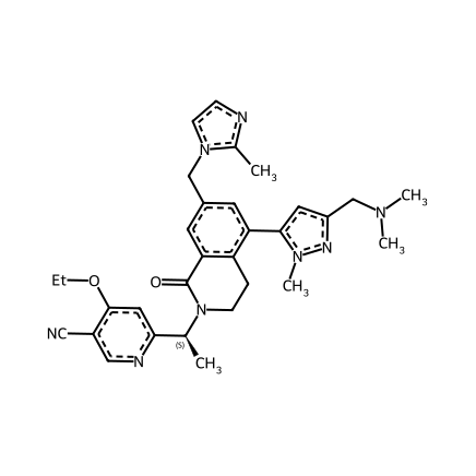 CCOc1cc([C@H](C)N2CCc3c(cc(Cn4ccnc4C)cc3-c3cc(CN(C)C)nn3C)C2=O)ncc1C#N